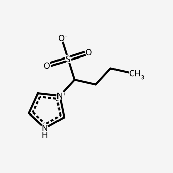 CCCC([n+]1cc[nH]c1)S(=O)(=O)[O-]